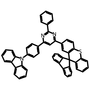 c1ccc(-c2nc(-c3ccc(-n4c5ccccc5c5ccccc54)cc3)cc(-c3ccc4c(c3)C3(c5ccccc5S4)c4ccccc4-c4ccccc43)n2)cc1